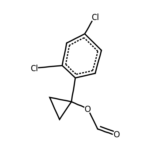 O=COC1(c2ccc(Cl)cc2Cl)CC1